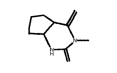 C=C1NC2CCCC2C(=C)N1C